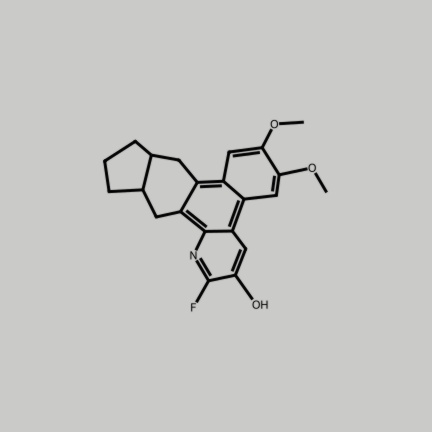 COc1cc2c3c(c4nc(F)c(O)cc4c2cc1OC)CC1CCCC1C3